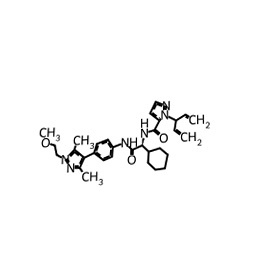 C=CC(C=C)n1nccc1C(=O)N[C@H](C(=O)Nc1ccc(-c2c(C)nn(CCOC)c2C)cc1)C1CCCCC1